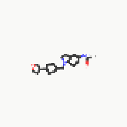 CCC(=O)Nc1ccc2c(c1)CCN2Cc1ccc(C2CCOC2)cc1